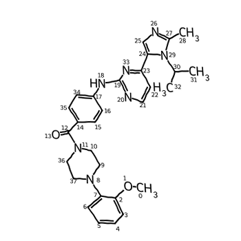 COc1ccccc1N1CCN(C(=O)c2ccc(Nc3nccc(-c4cnc(C)n4C(C)C)n3)cc2)CC1